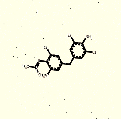 CCc1cc(Cc2cc(CC)c(N=C(C)C)c(CC)c2)cc(CC)c1N